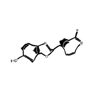 Oc1ccc2nc(-c3ccnc(F)c3)oc2c1